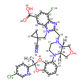 C[C@]1(c2ccc(Cl)cn2)Oc2cccc(N3CCN(Cc4nc5c(F)cc(C(=O)O)cc5n4CC4(C#N)CC4)[C@@H]4COC[C@@H]43)c2O1